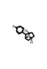 CN1[C@H]2CCC(c3ccc(F)cc3)[C@@H]1CC2